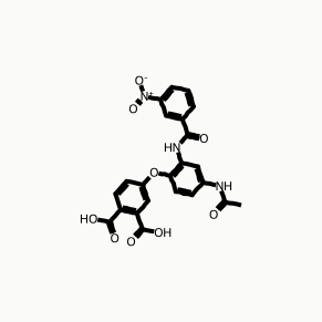 CC(=O)Nc1ccc(Oc2ccc(C(=O)O)c(C(=O)O)c2)c(NC(=O)c2cccc([N+](=O)[O-])c2)c1